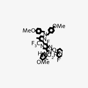 COC[C@@]12CC[C@@H](CN(c3nc(OC[C@@]45CCCN4C[C@H](F)C5)nc4c(F)c(-c5nc(N(Cc6ccc(OC)cc6)Cc6ccc(OC)cc6)cc(C)c5C(F)(F)F)ncc34)C1)N2C(=O)O